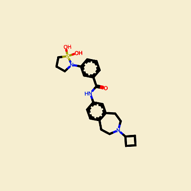 O=C(Nc1ccc2c(c1)CCN(C1CCC1)CC2)c1cccc(N2CCCS2(O)O)c1